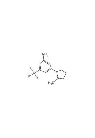 CN1CCCC1c1cc(N)cc(C(F)(F)F)c1